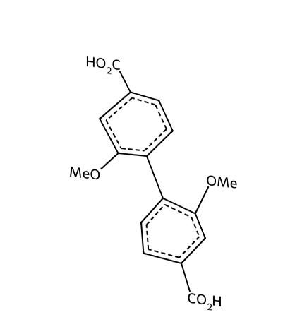 COc1cc(C(=O)O)ccc1-c1ccc(C(=O)O)cc1OC